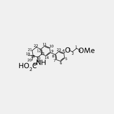 COCCOc1cccc(-c2ccc3c(c2)[C@@H](NC(=O)O)C(C)(C)CC3)c1